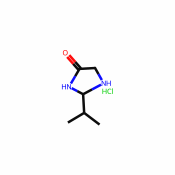 CC(C)C1NCC(=O)N1.Cl